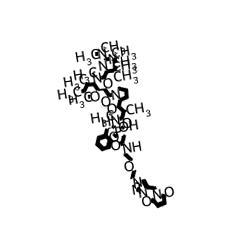 CC[C@H](C)[C@@H]([C@@H](CC(=O)N1CCCC1[C@H](OC)[C@@H](C)C(=O)N[C@@H](Cc1ccccc1)P(=O)(O)CC(=O)NCCOCCn1cc(CN2C(=O)C=CC2=O)nn1)OC)N(C)C(=O)C(N=C(N(C)C)N(C)C)C(C)C